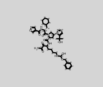 CC(C)(O)c1cnnn1[C@H]1C[C@@H](C(=O)NC(CCCCNC(O)OCc2ccccc2)C(=O)C(N)=O)N(C(=O)[C@@H](CC2CCCCC2)NC(=O)c2cnoc2)C1